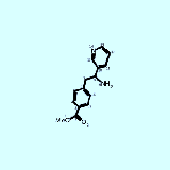 COC(=O)c1ccc(CC(N)c2cccnc2)cc1